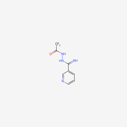 N=C(NNC(=O)C(F)(F)F)c1cccnc1